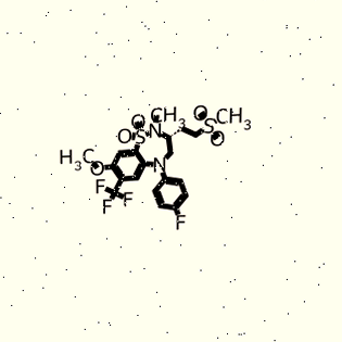 COc1cc2c(cc1C(F)(F)F)N(c1ccc(F)cc1)C[C@@H](CCS(C)(=O)=O)N(C)S2(=O)=O